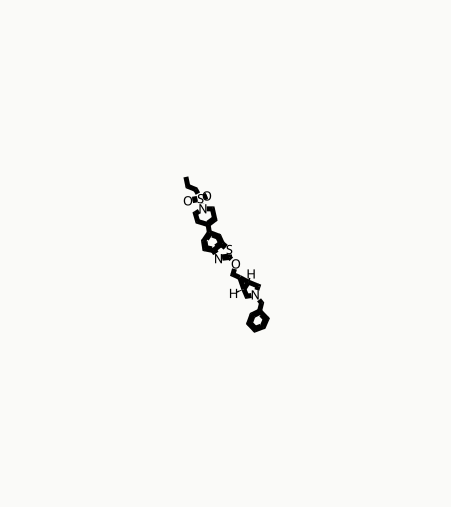 CCCS(=O)(=O)N1CC=C(c2ccc3nc(OCC4[C@H]5CN(Cc6ccccc6)C[C@@H]45)sc3c2)CC1